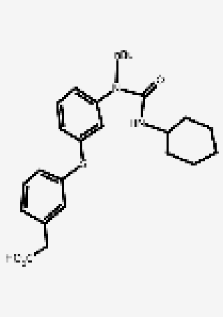 CCCCN(C(=O)NC1CCCCC1)c1cccc(Sc2cccc(CC(=O)O)c2)c1